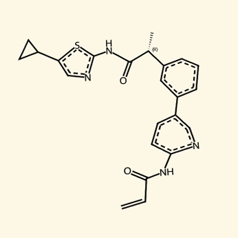 C=CC(=O)Nc1ccc(-c2cccc([C@@H](C)C(=O)Nc3ncc(C4CC4)s3)c2)cn1